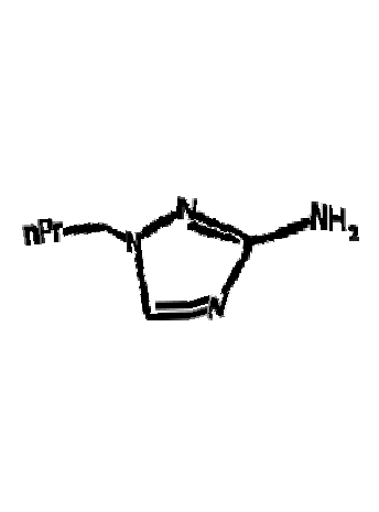 CCCn1cnc(N)n1